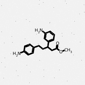 COC(=O)CC(CCc1ccc(N)cc1)c1cccc(N)c1